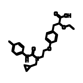 CCOC(Cc1ccc(OCCN(CC2CC2)C(=O)Nc2ccc(C)cc2)cc1)C(=O)O